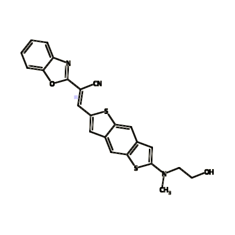 CN(CCO)c1cc2cc3sc(/C=C(\C#N)c4nc5ccccc5o4)cc3cc2s1